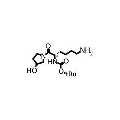 CC(C)(C)OC(=O)N[C@@H](CCCCN)C(=O)N1CC[C@H](O)C1